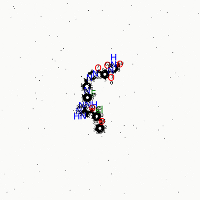 COc1ccc(C(=O)N2CCN(CC3CCN(c4ccc(Nc5ncnc6[nH]cc(C(=O)c7ccc(Oc8ccccc8)cc7Cl)c56)cc4F)CC3)CC2)cc1N1CCC(=O)NC1=O